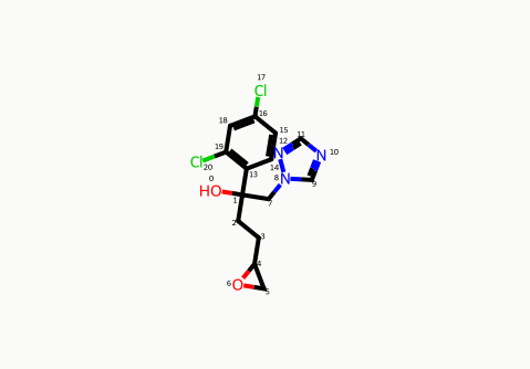 OC(CCC1CO1)(Cn1cncn1)c1ccc(Cl)cc1Cl